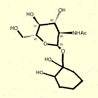 CC(=O)N[C@H]1[C@@H](OC2(O)CCCCC2O)O[C@H](CO)[C@@H](O)[C@@H]1O